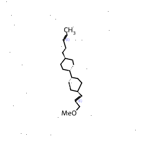 C/C=C/CC[C@H]1CC[C@H]([C@H]2CC[C@H](/C=C/COC)CC2)CC1